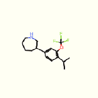 CC(C)c1ccc(C2CCCCNC2)cc1OC(F)(F)F